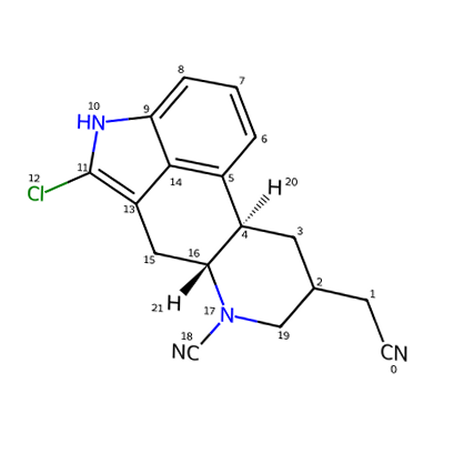 N#CCC1C[C@@H]2c3cccc4[nH]c(Cl)c(c34)C[C@H]2N(C#N)C1